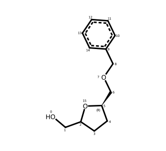 OCC1CC[C@H](COCc2ccccc2)O1